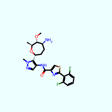 CO[C@H]1[C@H](C)O[C@@H](c2c(NC(=O)c3csc(-c4c(F)cccc4F)n3)cnn2C)CC[C@@H]1N